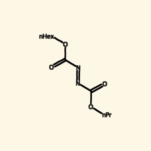 CCCCCCOC(=O)/N=N/C(=O)OCCC